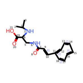 CC(C)NC(CNC(=O)/C=C/C1=C\C=C/C=C/C=C\1)C(=O)O